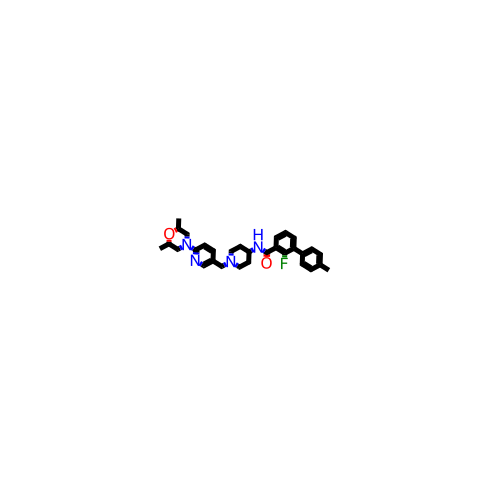 Cc1ccc(-c2cccc(C(=O)NC3CCN(Cc4ccc(N5CC(C)OC(C)C5)nc4)CC3)c2F)cc1